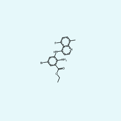 CCOC(=O)c1cc(Br)cc(Nc2ccnc3c(C)ccc(F)c23)c1N